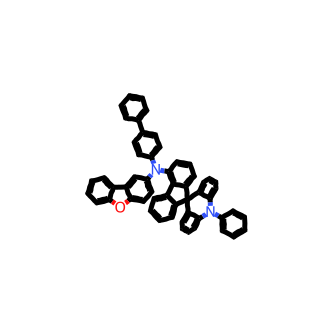 c1ccc(-c2ccc(N(c3ccc4oc5ccccc5c4c3)c3cccc4c3-c3ccccc3C43c4ccccc4N(c4ccccc4)c4ccccc43)cc2)cc1